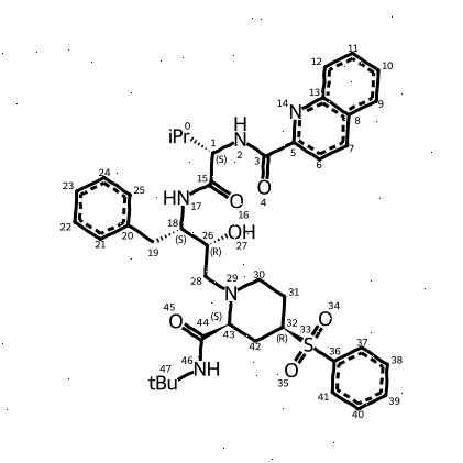 CC(C)[C@H](NC(=O)c1ccc2ccccc2n1)C(=O)N[C@@H](Cc1ccccc1)[C@H](O)CN1CC[C@@H](S(=O)(=O)c2ccccc2)C[C@H]1C(=O)NC(C)(C)C